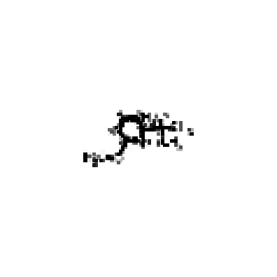 COc1nccc(C(C)(C)C)n1